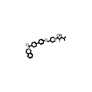 CC(C)C1=NOC(N2CCC(COC3=CCC(C4=CCC(C(=O)N5CCc6ccccc6C5)CC4)C=C3)CC2)[C@@H]1C